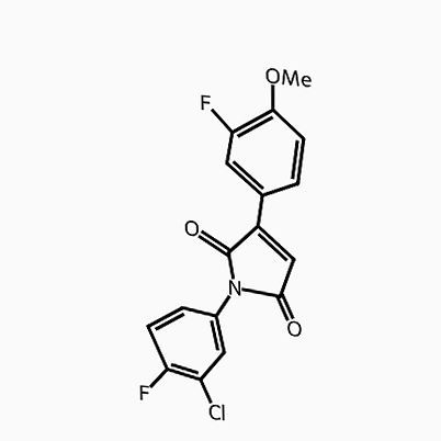 COc1ccc(C2=CC(=O)N(c3ccc(F)c(Cl)c3)C2=O)cc1F